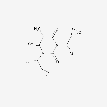 CCC(C1CO1)n1c(=O)n(C)c(=O)n(C(CC)C2CO2)c1=O